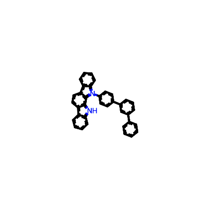 c1ccc(-c2cccc(-c3ccc(-n4c5ccccc5c5ccc6c7ccccc7[nH]c6c54)cc3)c2)cc1